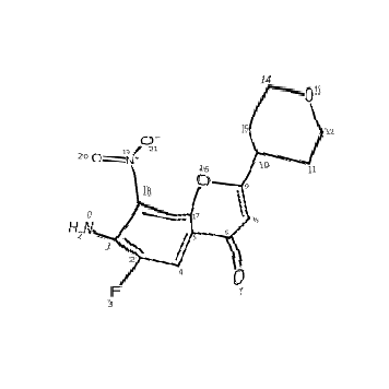 Nc1c(F)cc2c(=O)cc(C3CCOCC3)oc2c1[N+](=O)[O-]